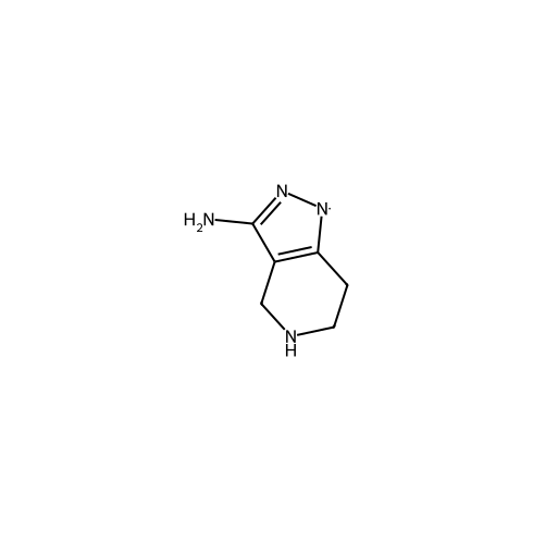 NC1=N[N]C2=C1CNCC2